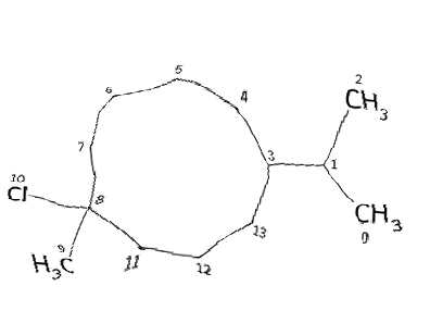 CC(C)C1CCCCC(C)(Cl)CCC1